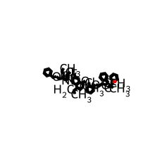 C=C(C)c1cn(-c2cccc(OCCO[Si](c3ccccc3)(c3ccccc3)C(C)(C)C)c2Cl)c(=O)c2cc(F)c(-n3nc(COCc4ccccc4)n(CC)c3=O)cc12